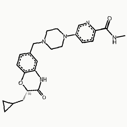 CNC(=O)c1ccc(N2CCN(Cc3ccc4c(c3)NC(=O)[C@H](CC3CC3)O4)CC2)cn1